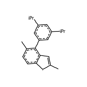 CC1=Cc2c(ccc(C)c2-c2cc(C(C)C)cc(C(C)C)c2)[CH]1